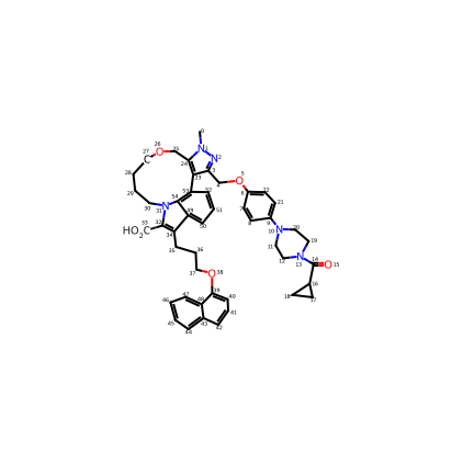 Cn1nc(COc2ccc(N3CCN(C(=O)C4CC4)CC3)cc2)c2c1COCCCCn1c(C(=O)O)c(CCCOc3cccc4ccccc34)c3cccc-2c31